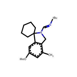 COc1cc(C)c2c(c1)C1(CCCCC1)N(C=NC(C)(C)C)C2